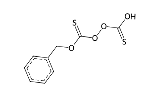 OC(=S)OOC(=S)OCc1ccccc1